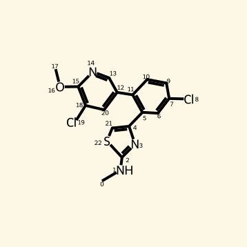 CNc1nc(-c2cc(Cl)ccc2-c2cnc(OC)c(Cl)c2)cs1